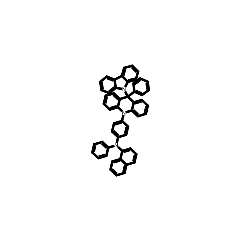 c1ccc(N(c2ccc(N3c4ccccc4C(c4ccccc4)(n4c5ccccc5c5ccccc54)c4ccccc43)cc2)c2cccc3ccccc23)cc1